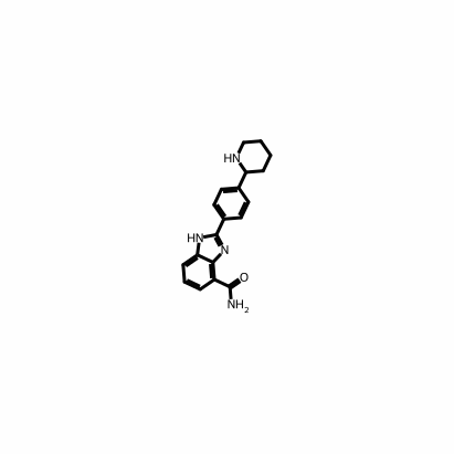 NC(=O)c1cccc2[nH]c(-c3ccc(C4CCCCN4)cc3)nc12